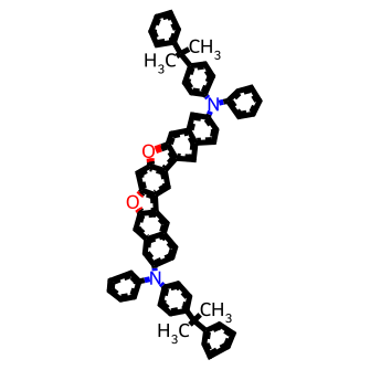 CC(C)(c1ccccc1)c1ccc(N(c2ccccc2)c2ccc3cc4c(cc3c2)oc2cc3oc5cc6cc(N(c7ccccc7)c7ccc(C(C)(C)c8ccccc8)cc7)ccc6cc5c3cc24)cc1